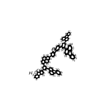 CC1(C)c2ccccc2-c2ccc(-c3cc(-c4ccc5c6c(cccc46)-c4ccccc4-5)cc(-c4ccc5ccc6cc(-c7ccc8c(c7)oc7ccc(-c9cc(-c%10ccc%11c%12c(cccc%10%12)-c%10ccccc%10-%11)cc(-c%10ccc%11c%12c(cccc%10%12)-c%10ccccc%10-%11)c9)cc78)cc7ccc4c5c67)c3)cc21